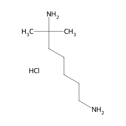 CC(C)(N)CCCCCN.Cl